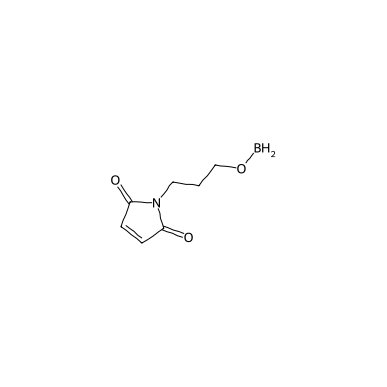 BOCCCN1C(=O)C=CC1=O